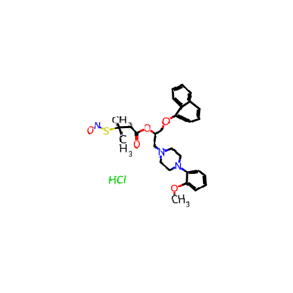 COc1ccccc1N1CCN(CC(COc2cccc3ccccc23)OC(=O)CC(C)(C)SN=O)CC1.Cl